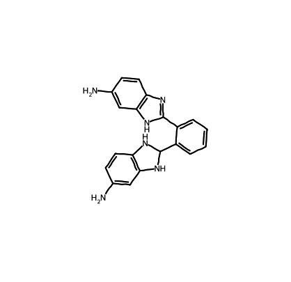 Nc1ccc2c(c1)NC(c1ccccc1-c1nc3ccc(N)cc3[nH]1)N2